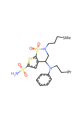 CSCCCN1CC(N(CCC(C)C)c2ccccc2)c2cc(S(N)(=O)=O)sc2S1(=O)=O